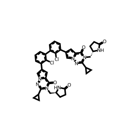 O=C1CC[C@@H](Cn2c(C3CC3)nn3cc(-c4cccc(-c5cccc(-c6cc7c(=O)n(C[C@@H]8CCC(=O)N8)c(C8CC8)nn7c6)c5Cl)c4Cl)cc3c2=O)N1